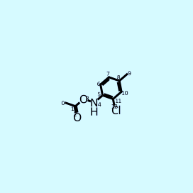 CC(=O)ONc1ccc(C)cc1Cl